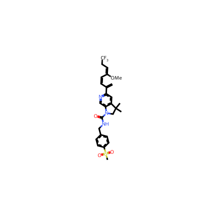 C=C(/C=C\C(=C/CC(F)(F)F)OC)c1cc2c(cn1)N(C(=O)NCc1ccc(S(C)(=O)=O)cc1)CC2(C)C